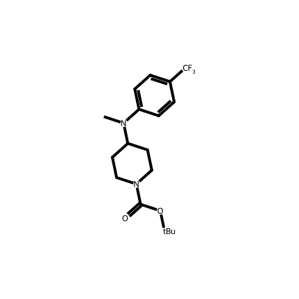 CN(c1ccc(C(F)(F)F)cc1)C1CCN(C(=O)OC(C)(C)C)CC1